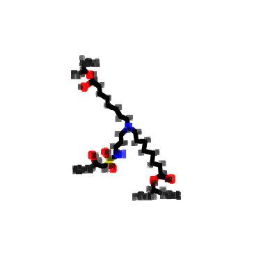 CCCCCCCCC(CC)OC(=O)CCCCCCCN(CCCCCCCC(=O)OC(CCCCCCCC)CCCCCCCC)CCCNS(=O)(=O)CC(=O)NC